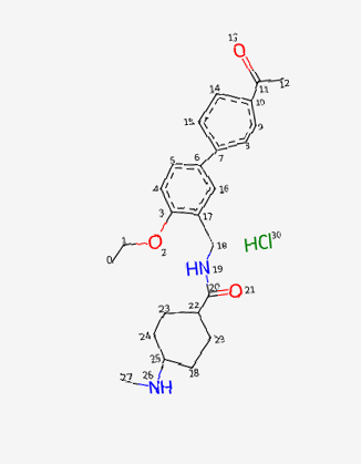 CCOc1ccc(-c2ccc(C(C)=O)cc2)cc1CNC(=O)C1CCC(NC)CC1.Cl